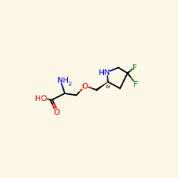 NC(COC[C@@H]1CC(F)(F)CN1)C(=O)O